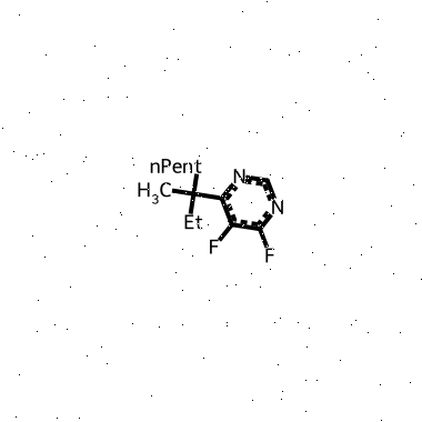 CCCCCC(C)(CC)c1ncnc(F)c1F